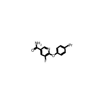 CC(C)c1ccc(Oc2ncc(C(N)=O)cc2F)cc1